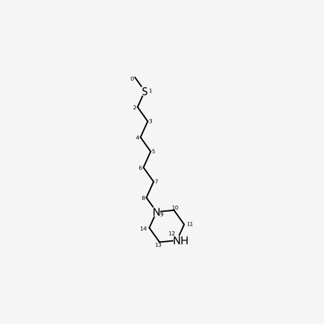 CSCCCCCCCN1CCNCC1